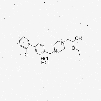 CCOC(O)CN1CCN(Cc2ccc(-c3ccccc3Cl)cc2)CC1.Cl.Cl